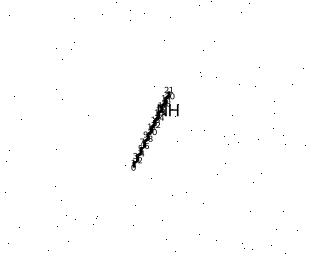 CCCCCCCCCCCCCCCCNCCCCC